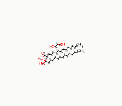 CCCCCCCCCCCCCCC(=O)O.CCCCCCCCCCCCCCC(=O)O.OCCO